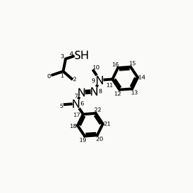 CC(C)CS.CN(/N=N/N(C)c1ccccc1)c1ccccc1